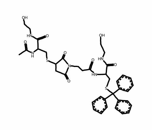 CC(=O)NC(CSC1CC(=O)N(CCC(=O)NC(CSC(c2ccccc2)(c2ccccc2)c2ccccc2)C(=O)NCCO)C1=O)C(=O)NCCO